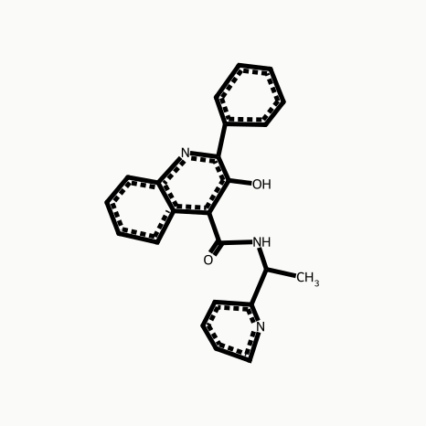 CC(NC(=O)c1c(O)c(-c2ccccc2)nc2ccccc12)c1ccccn1